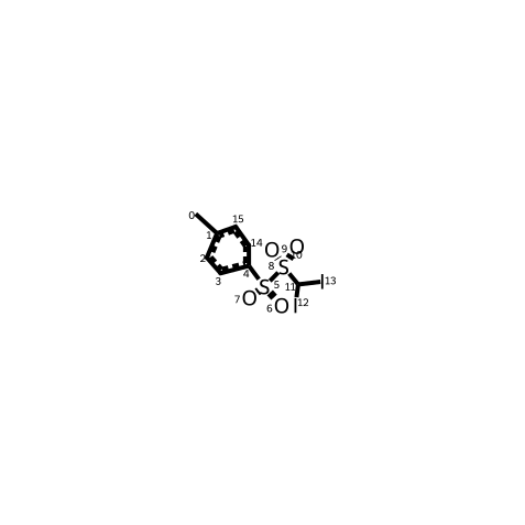 Cc1ccc(S(=O)(=O)S(=O)(=O)C(I)I)cc1